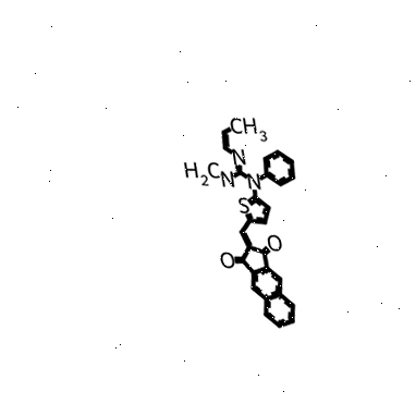 C=N/C(=N\C=C/C)N(c1ccccc1)c1ccc(C=C2C(=O)c3cc4ccccc4cc3C2=O)s1